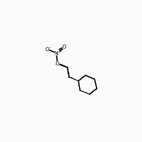 O=[N+]([O-])OCCC1CCCCC1